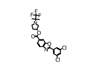 CC(C)(N1CCC(OC(=O)c2ccc3nc(-c4cc(Cl)cc(Cl)c4)oc3c2)C1)C(F)(F)F